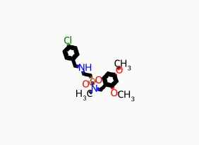 COc1ccc(CN(C)S(=O)(=O)CCNCc2ccc(Cl)cc2)c(OC)c1